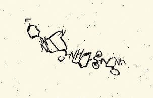 O=C1CN(S(=O)(=O)c2ccc(CNC(=O)c3cncc4c3cnn4-c3ccc(F)cc3)cc2)CCN1